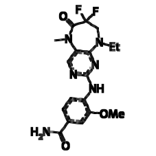 CCN1CC(F)(F)C(=O)N(C)c2cnc(Nc3ccc(C(N)=O)cc3OC)nc21